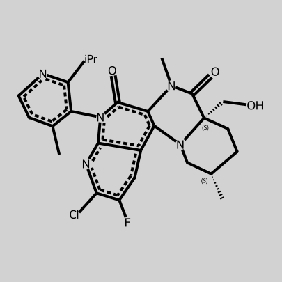 Cc1ccnc(C(C)C)c1-n1c(=O)c2c(c3cc(F)c(Cl)nc31)N1C[C@@H](C)CC[C@]1(CO)C(=O)N2C